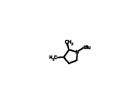 CC1CCN(C(C)(C)C)[C@@H]1C